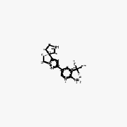 Nc1ncc(-c2cc3n(n2)CC[C@@]32CCNC2)cc1C(F)(F)F